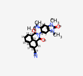 CN(C)c1cc2c(cc1N1C(=O)c3cccc4cc(C#N)cc(c34)C1=O)n(C)c(=O)n2C